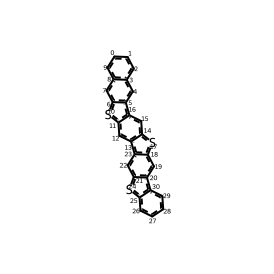 c1ccc2cc3c(cc2c1)sc1cc2c(cc13)sc1cc3c(cc12)sc1ccccc13